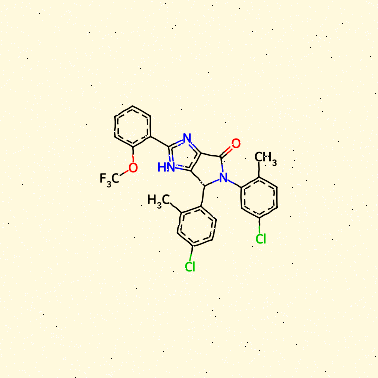 Cc1cc(Cl)ccc1C1c2[nH]c(-c3ccccc3OC(F)(F)F)nc2C(=O)N1c1cc(Cl)ccc1C